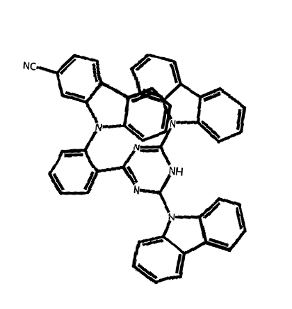 N#Cc1ccc2c3ccccc3n(-c3ccccc3C3=NC(n4c5ccccc5c5ccccc54)NC(n4c5ccccc5c5ccccc54)=N3)c2c1